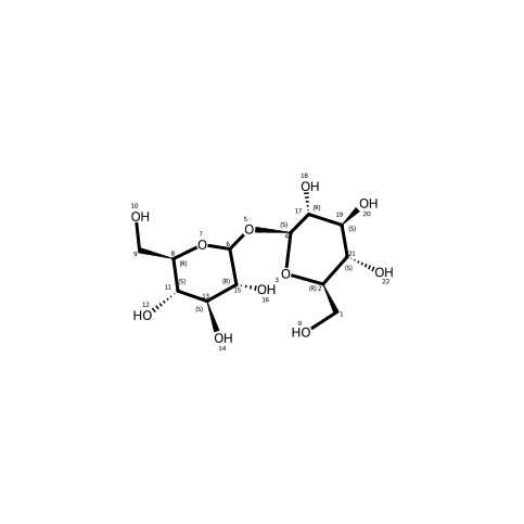 OC[C@H]1O[C@@H](OC2O[C@H](CO)[C@@H](O)[C@H](O)[C@H]2O)[C@H](O)[C@@H](O)[C@@H]1O